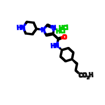 Cl.Cl.O=C(O)CC[C@H]1CC[C@H](NC(=O)c2cn(C3CCNCC3)cn2)CC1